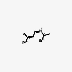 C/C(=C\C=N/C(C)Br)C(C)C